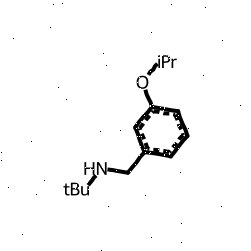 CC(C)Oc1cccc(CNC(C)(C)C)c1